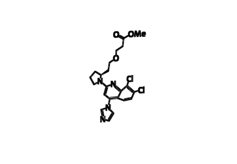 COC(=O)CCOCC[C@@H]1CCCN1c1cc(-n2ccnc2)c2ccc(Cl)c(Cl)c2n1